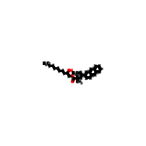 CCCCCCCCC(O)COC(=O)C(C)(C)CC(CC)c1ccc2cc3ccccc3cc2c1